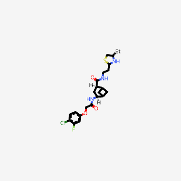 CCC1CSC(CCNC(=O)[C@@H]2C[C@H](NC(=O)COc3ccc(Cl)c(F)c3)C3CC2C3)N1